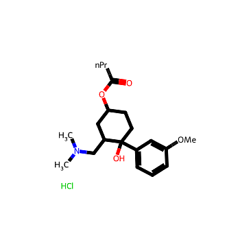 CCCC(=O)OC1CCC(O)(c2cccc(OC)c2)C(CN(C)C)C1.Cl